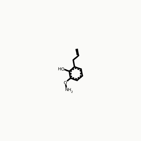 C=CCc1cccc(ON)c1O